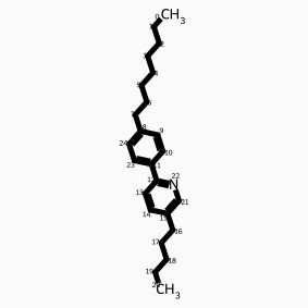 CCCCCCCCc1ccc(-c2ccc(CCCCC)cn2)cc1